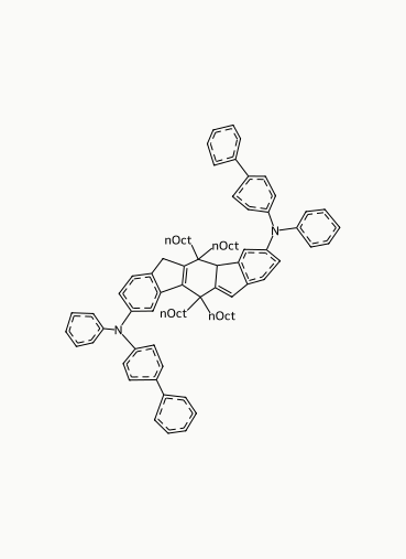 CCCCCCCCC1(CCCCCCCC)C2=Cc3ccc(N(c4ccccc4)c4ccc(-c5ccccc5)cc4)cc3C2C(CCCCCCCC)(CCCCCCCC)C2=C1c1cc(N(c3ccccc3)c3ccc(-c4ccccc4)cc3)ccc1C2